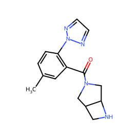 Cc1ccc(-n2nccn2)c(C(=O)N2CC3CNC3C2)c1